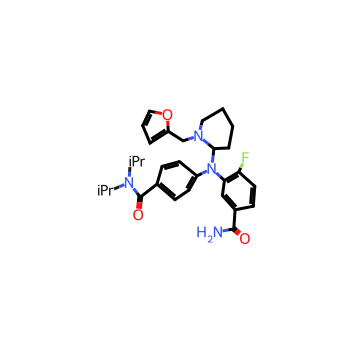 CC(C)N(C(=O)c1ccc(N(c2cc(C(N)=O)ccc2F)C2CCCCN2Cc2ccco2)cc1)C(C)C